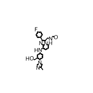 Cc1cn(-c2ccc(Nc3cccn4c(CNC=O)c(-c5ccc(F)cc5)nc34)cc2CO)cn1